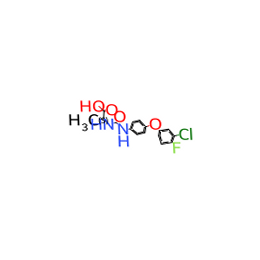 C[C@H](NC(=O)Nc1ccc(Oc2ccc(F)c(Cl)c2)cc1)C(=O)O